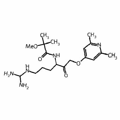 COC(C)(C)C(=O)NC(CCCNC(N)N)C(=O)COc1cc(C)nc(C)c1